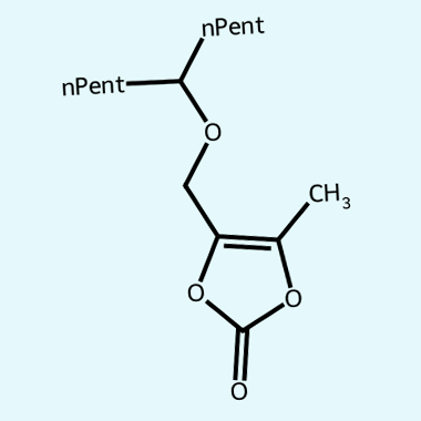 CCCCCC(CCCCC)OCc1oc(=O)oc1C